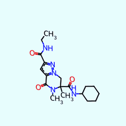 CCNC(=O)c1cc2n(n1)CC(C)(C(=O)NC1CCCCC1)N(C)C2=O